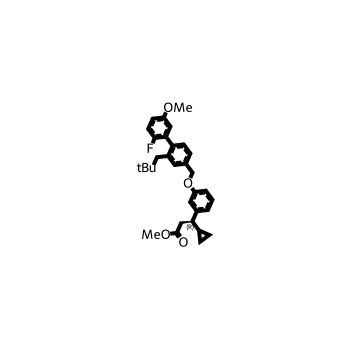 COC(=O)C[C@@H](c1cccc(OCc2ccc(-c3cc(OC)ccc3F)c(CC(C)(C)C)c2)c1)C1CC1